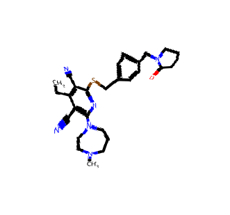 CCc1c(C#N)c(SCc2ccc(CN3CCCC3=O)cc2)nc(N2CCCN(C)CC2)c1C#N